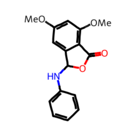 COc1cc(OC)c2c(c1)C(Nc1ccccc1)OC2=O